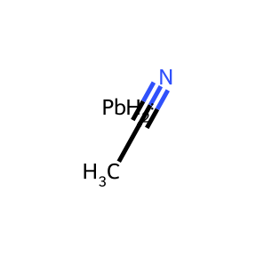 CC#N.[PbH2]